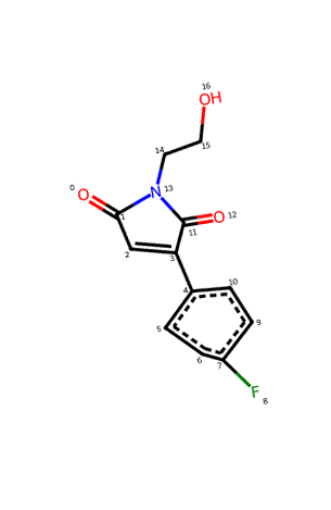 O=C1C=C(c2ccc(F)cc2)C(=O)N1CCO